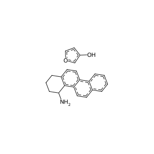 NC1CCCc2ccc3c(ccc4ccccc43)c21.Oc1ccoc1